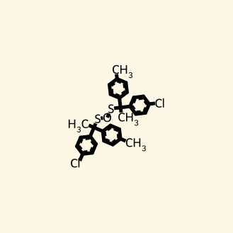 Cc1ccc(C(C)(SOSC(C)(c2ccc(C)cc2)c2ccc(Cl)cc2)c2ccc(Cl)cc2)cc1